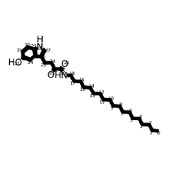 CCCCCCCCCCCCCCCCCCCNC(=O)C(=O)CCc1c[nH]c2ccc(O)cc12